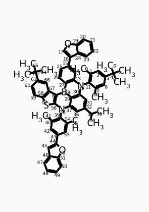 Cc1cc(C(C)(C)C)cc(C)c1N1c2cc(-c3coc4ccccc34)ccc2B2c3c1cc(C(C)C)cc3N(c1c(C)cc(-c3cc4ccccc4o3)cc1C)c1sc3ccc(C(C)(C)C)cc3c12